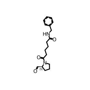 O=C[C@@H]1CCCN1C(=O)CCCCC(=O)NCc1ccccc1